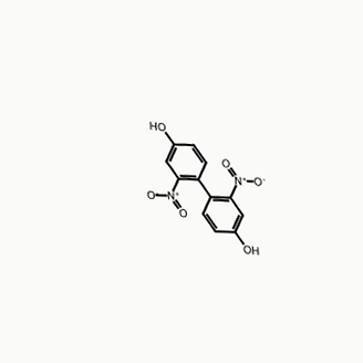 O=[N+]([O-])c1cc(O)ccc1-c1ccc(O)cc1[N+](=O)[O-]